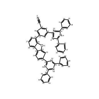 N#Cc1cc(-c2nc(-c3ccccc3)nc(-c3ccccc3)n2)cc(-c2cccc3c2oc2cc(-c4nc(-c5ccccc5)nc(-c5ccccc5)n4)ccc23)c1